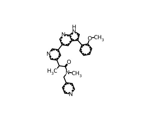 COc1ccccc1-c1c[nH]c2ncc(-c3cncc(C(C)C(=O)N(C)Cc4ccncc4)c3)cc12